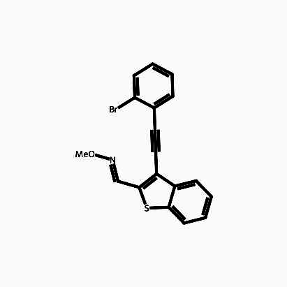 CON=Cc1sc2ccccc2c1C#Cc1ccccc1Br